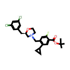 CC(C)(C)OC(=O)c1cc(C2CC2)c(CN2CCO[C@H](Cc3cc(Cl)cc(Cl)c3)C2)cc1F